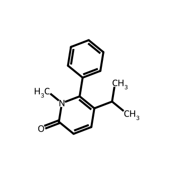 CC(C)c1ccc(=O)n(C)c1-c1ccccc1